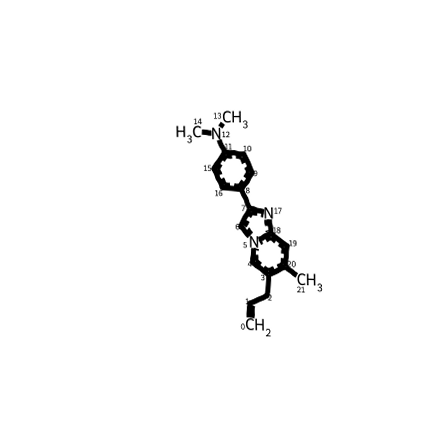 C=CCc1cn2cc(-c3ccc(N(C)C)cc3)nc2cc1C